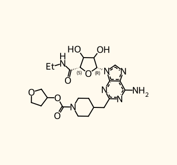 CCNC(=O)[C@H]1O[C@@H](n2cnc3c(N)nc(CC4CCN(C(=O)OC5CCOC5)CC4)nc32)C(O)C1O